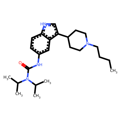 CCCCN1CCC(c2c[nH]c3ccc(NC(=O)N(C(C)C)C(C)C)cc23)CC1